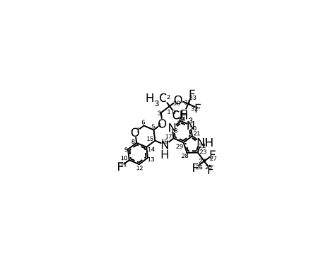 CC(C)(COC1COc2cc(F)ccc2C1Nc1ncnc2[nH]c(C(F)(F)F)cc12)OC(F)(F)F